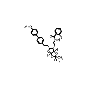 COc1ccc(-c2ccc(CC[C@@H]3O[C@H]4OC(C)(C)O[C@H]4[C@H]3CCn3nnc4ccccc4c3=O)cc2)cc1